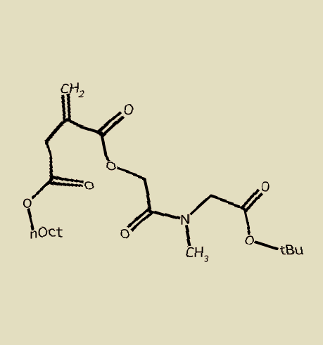 C=C(CC(=O)OCCCCCCCC)C(=O)OCC(=O)N(C)CC(=O)OC(C)(C)C